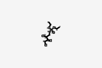 CCOP(=O)(OCC)SCC(Cl)C(Cl)CCl